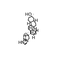 C[C@@]1(O)CC[C@H]2[C@H](CC[C@@H]3[C@@H]2CC[C@@]2(C)[C@H]3[C@@H]3C[C@@H]3[C@@H]2C(=O)CN2C=CNN2)C1